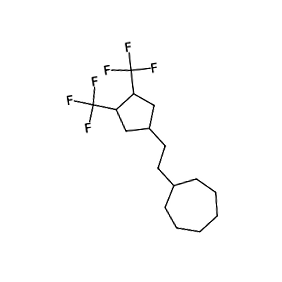 FC(F)(F)C1CC(CCC2CCCCCC2)CC1C(F)(F)F